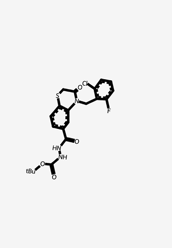 CC(C)(C)OC(=O)NNC(=O)c1ccc2c(c1)N(Cc1c(F)cccc1Cl)C(=O)CS2